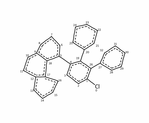 Clc1ccc(-c2cccc3ccc4ccccc4c23)c(-c2ccccc2)c1-c1ccccc1